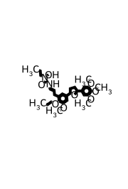 CCCOc1c(CC=CNC(=O)N(O)CCC)cc(C2CCC(c3cc(OC)c(OC)c(OC)c3)O2)cc1OC